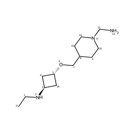 CCN[C@H]1C[C@H](OCC2CCN(CN)CC2)C1